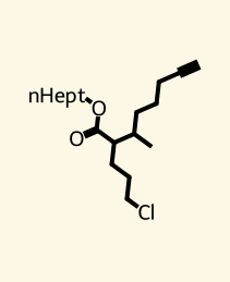 C#CCCCC(C)C(CCCCl)C(=O)OCCCCCCC